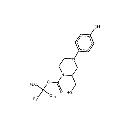 CC(C)(C)OC(=O)N1CCN(c2ccc(O)cc2)CC1CO